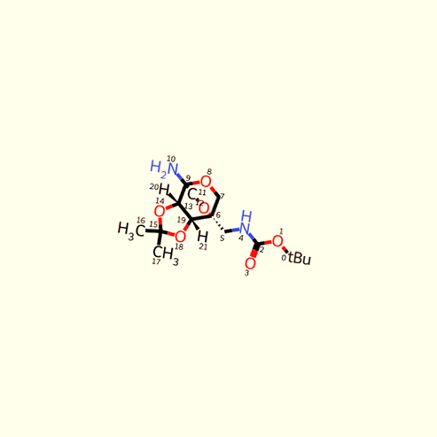 CC(C)(C)OC(=O)NC[C@@]12COC(N)(CO1)[C@H]1OC(C)(C)O[C@H]12